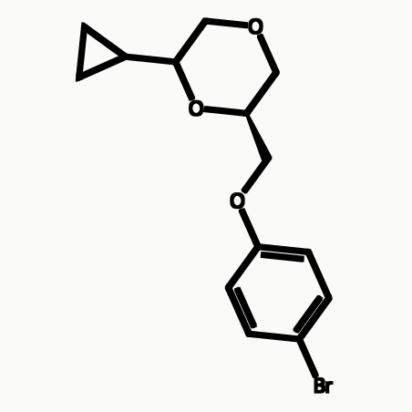 Brc1ccc(OC[C@@H]2COCC(C3CC3)O2)cc1